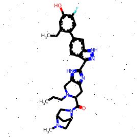 CCCN1Cc2[nH]c(-c3n[nH]c4cc(-c5cc(F)c(O)cc5CC)ccc34)nc2CC1C(=O)N1CC2CC1CN2C